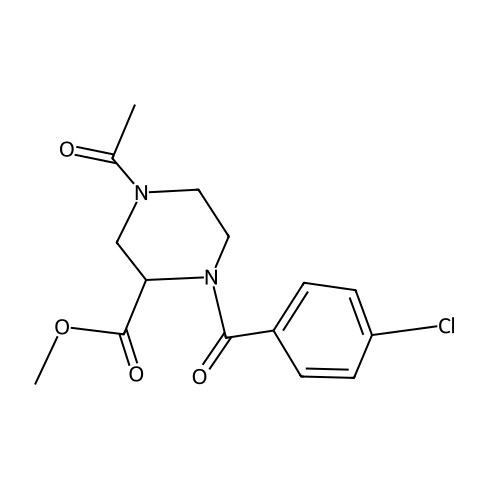 COC(=O)C1CN(C(C)=O)CCN1C(=O)c1ccc(Cl)cc1